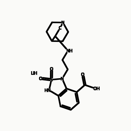 O=C(O)c1cccc2c1N(CCNC1CN3CCC1CC3)S(=O)(=O)N2.[LiH]